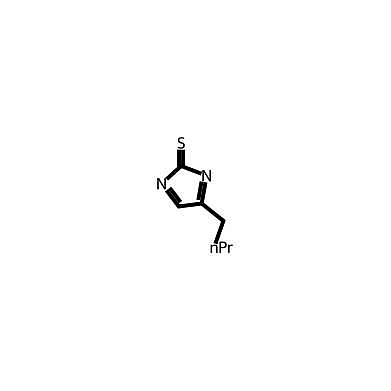 CCCCC1=NC(=S)N=C1